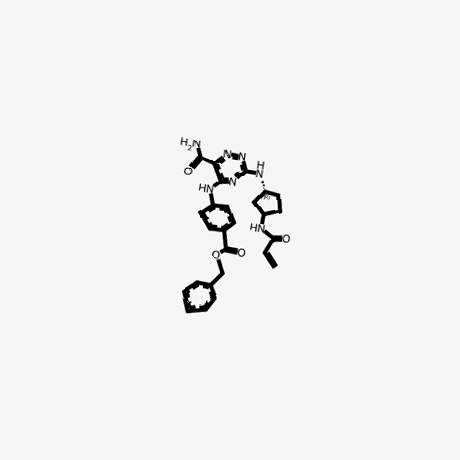 C=CC(=O)NC1CC[C@@H](Nc2nnc(C(N)=O)c(Nc3ccc(C(=O)OCc4ccccc4)cc3)n2)C1